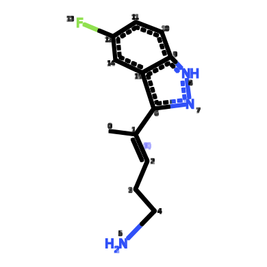 C/C(=C\CCN)c1n[nH]c2ccc(F)cc12